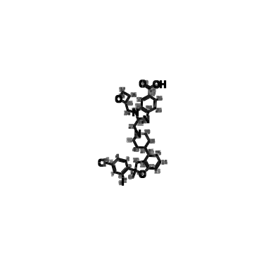 CC1(c2ccc(Cl)cc2F)Cc2c(cccc2C2CCN(Cc3nc4ccc(C(=O)O)cc4n3CC3CCO3)CC2)O1